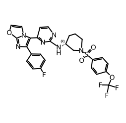 O=S(=O)(c1ccc(OC(F)(F)F)cc1)N1CCC[C@@H](Nc2nccc(-c3c(-c4ccc(F)cc4)nc4occn34)n2)C1